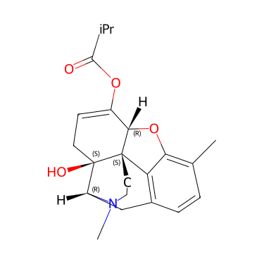 Cc1ccc2c3c1O[C@H]1C(OC(=O)C(C)C)=CC[C@@]4(O)[C@@H](C2)N(C)CC[C@]314